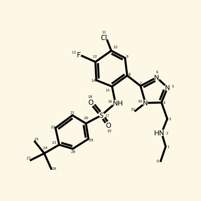 CCNCc1nnc(-c2cc(Cl)c(F)cc2NS(=O)(=O)c2ccc(C(C)(C)C)cc2)n1C